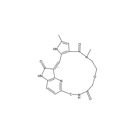 Cc1cc2c([nH]1)/C=C1\C(=O)Nc3ccc(nc31)CNC(=O)COCCN(C)C2=O